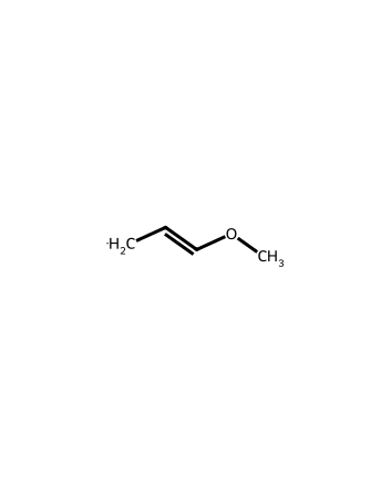 [CH2]/C=C/OC